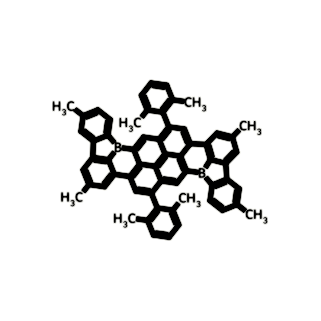 Cc1ccc2c(c1)-c1cc(C)cc3c1B2c1cc2c(-c4c(C)cccc4C)cc4c5c(cc6c(-c7c(C)cccc7C)cc-3c1c6c25)B1c2ccc(C)cc2-c2cc(C)cc-4c21